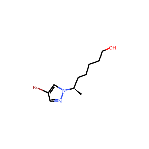 C[C@H](CCCCCO)n1cc(Br)cn1